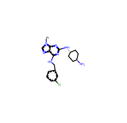 CC(C)n1cnc2c(NCc3cccc(Cl)c3)nc(N[C@H]3CC[C@H](N)CC3)nc21